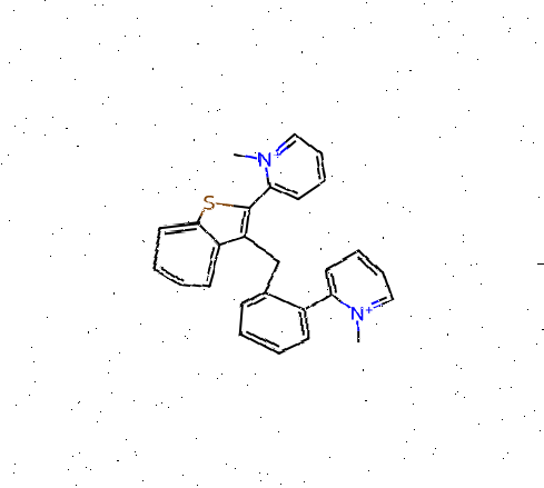 C[n+]1ccccc1-c1ccccc1Cc1c(-c2cccc[n+]2C)sc2ccccc12